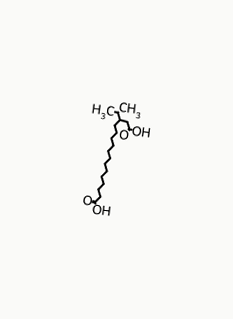 CC(C)C(CCCCCCCCCCCCC(=O)O)CC(=O)O